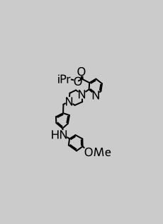 COc1ccc(Nc2ccc(CN3CCN(c4ncccc4C(=O)OC(C)C)CC3)cc2)cc1